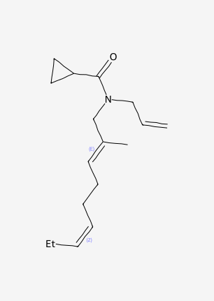 C=CCN(C/C(C)=C/CC/C=C\CC)C(=O)C1CC1